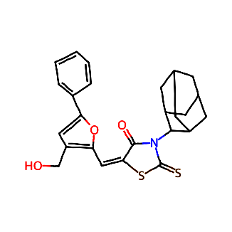 O=C1/C(=C\c2oc(-c3ccccc3)cc2CO)SC(=S)N1C1C2CC3CC(C2)CC1C3